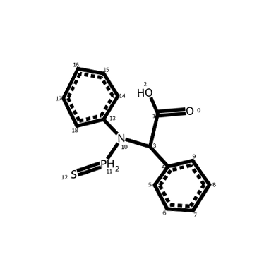 O=C(O)C(c1ccccc1)N([PH2]=S)c1ccccc1